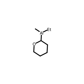 C[CH2][Al]([CH3])[CH]1CCCCO1